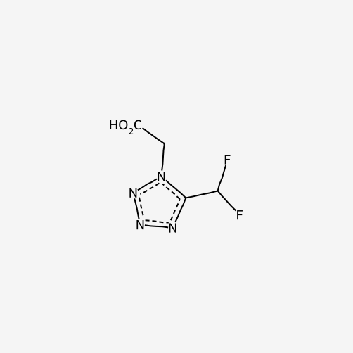 O=C(O)Cn1nnnc1C(F)F